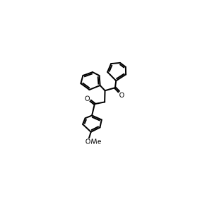 COc1ccc(C(=O)CC(C(=O)c2ccccc2)c2ccccc2)cc1